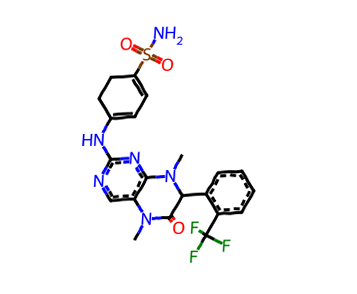 CN1C(=O)C(c2ccccc2C(F)(F)F)N(C)c2nc(NC3=CC=C(S(N)(=O)=O)CC3)ncc21